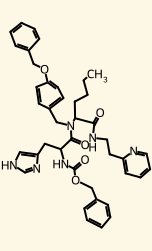 CCCCC(C(=O)NCCc1ccccn1)N(Cc1ccc(OCc2ccccc2)cc1)C(=O)C(Cc1c[nH]cn1)NC(=O)OCc1ccccc1